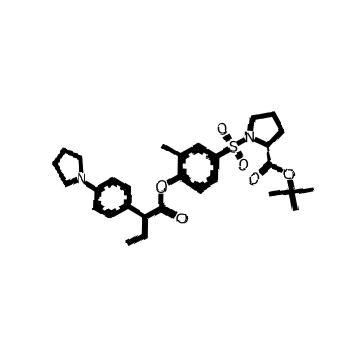 CCC(C(=O)Oc1ccc(S(=O)(=O)N2CCC[C@H]2C(=O)OC(C)(C)C)cc1C)c1ccc(N2CCCC2)cc1